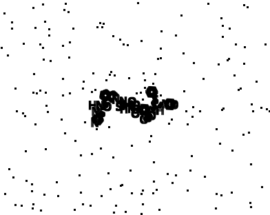 CS(=O)(=O)c1cc(S(=O)(=O)NC(=O)c2csc(N3CCc4cccc(C(=O)Nc5nc6cnccc6s5)c4C3)n2)ccc1N[C@H](CCN1CCOCC1)CSc1ccccc1